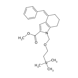 COC(=O)c1cc2c(n1COCC[Si](C)(C)C)CCC/C2=C/c1ccccc1